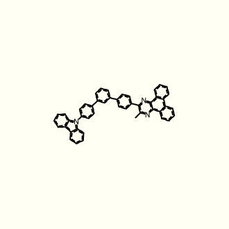 Cc1nc2c3ccccc3c3ccccc3c2nc1-c1ccc(-c2cccc(-c3ccc(-n4c5ccccc5c5ccccc54)cc3)c2)cc1